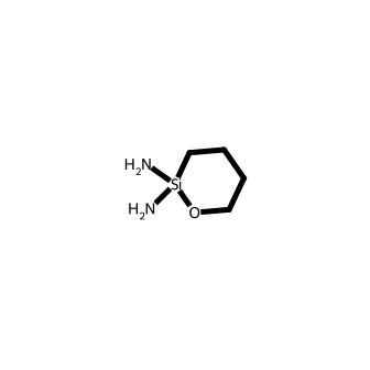 N[Si]1(N)CCCCO1